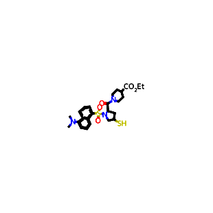 CCOC(=O)C1CCN(C(=O)C2CC(S)CN2S(=O)(=O)c2cccc3c(N(C)C)cccc23)CC1